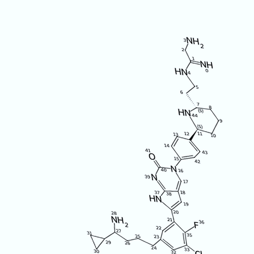 N=C(CN)NCC[C@@H]1CCC[C@@H](c2ccc(-n3cc4cc(-c5cc(CCCC(N)C6CC6)cc(Cl)c5F)[nH]c4nc3=O)cc2)N1